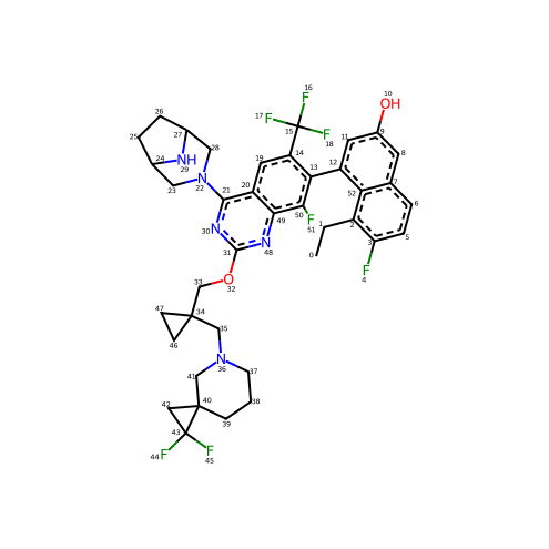 CCc1c(F)ccc2cc(O)cc(-c3c(C(F)(F)F)cc4c(N5CC6CCC(C5)N6)nc(OCC5(CN6CCCC7(C6)CC7(F)F)CC5)nc4c3F)c12